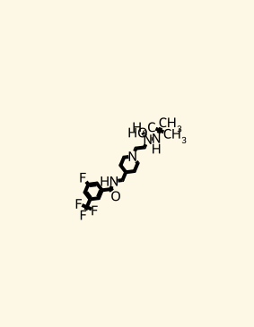 CC(C)(C)NN(O)CCN1CCC(CNC(=O)c2cc(F)cc(C(F)(F)F)c2)CC1